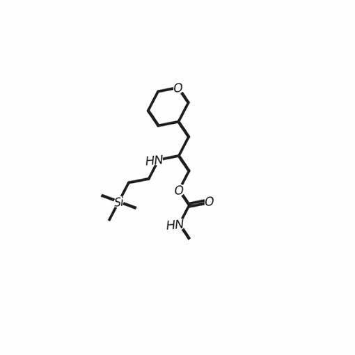 CNC(=O)OCC(CC1CCCOC1)NCC[Si](C)(C)C